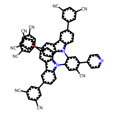 N#Cc1cc(C#N)cc(-c2ccc3c(c2)c2cc(-c4cc(C#N)cc(C#N)c4)ccc2n3-c2cc(C#N)c(-c3ccncc3)cc2-n2c3ccc(-c4cc(C#N)cc(C#N)c4)cc3c3cc(-c4cc(C#N)cc(C#N)c4)ccc32)c1